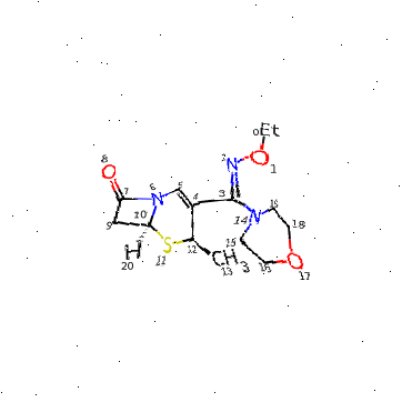 CCON=C(C1=CN2C(=O)C[C@@H]2S[C@@H]1C)N1CCOCC1